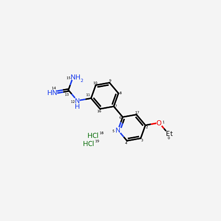 CCOc1ccnc(-c2cccc(NC(=N)N)c2)c1.Cl.Cl